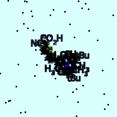 CC(C)(C)c1cc2c3c(c1)C(C)(C)c1cc(C(C)(C)C)cc4c1N3c1c(cc(-c3ccc(-c5ccc(/C=C(\C#N)C(=O)O)s5)s3)cc1C4(C)C)C2(C)C